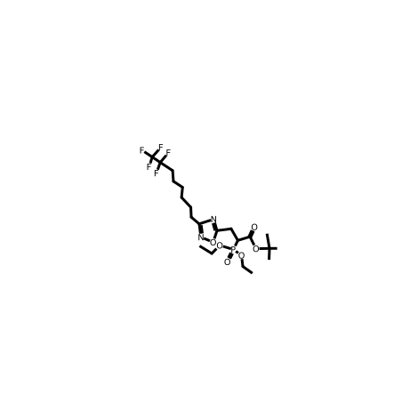 CCOP(=O)(OCC)C(Cc1nc(CCCCCCC(F)(F)C(F)(F)F)no1)C(=O)OC(C)(C)C